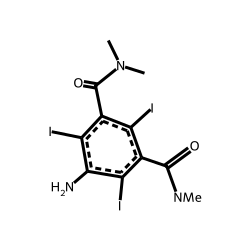 CNC(=O)c1c(I)c(N)c(I)c(C(=O)N(C)C)c1I